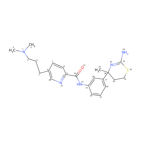 CN(C)CCCc1ccc(C(=O)Nc2cccc(C3(C)CCSC(N)=N3)c2)nc1